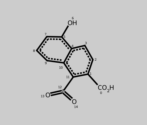 O=C(O)c1ccc2c(O)cccc2c1I(=O)=O